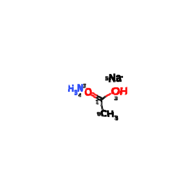 CC(=O)O.N.[Na]